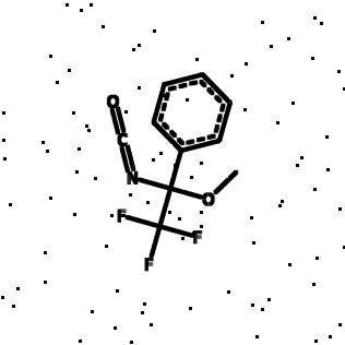 COC(N=C=O)(c1ccccc1)C(F)(F)F